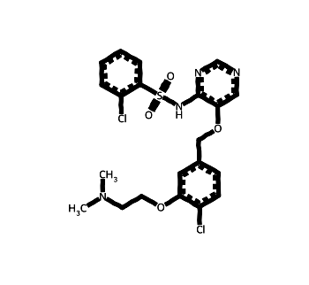 CN(C)CCOc1cc(COc2cncnc2NS(=O)(=O)c2ccccc2Cl)ccc1Cl